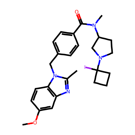 COc1ccc2c(c1)nc(C)n2Cc1ccc(C(=O)N(C)C2CCN(C3(I)CCC3)C2)cc1